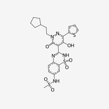 CS(=O)(=O)Nc1ccc2c(c1)S(=O)(=O)NC(c1c(O)c(-c3cccs3)nn(CCC3CCCC3)c1=O)=N2